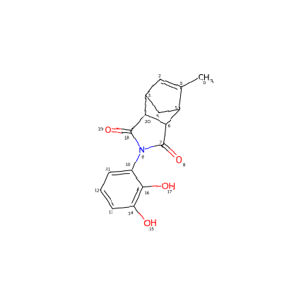 CC1=CC2CC1C1C(=O)N(c3cccc(O)c3O)C(=O)C21